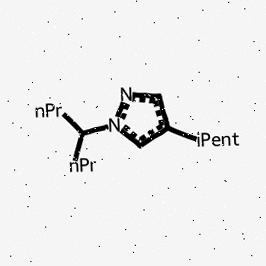 CCCC(C)c1cnn(C(CCC)CCC)c1